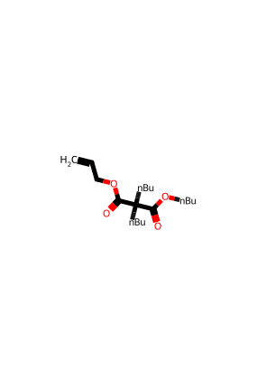 C=CCOC(=O)C(CCCC)(CCCC)C(=O)OCCCC